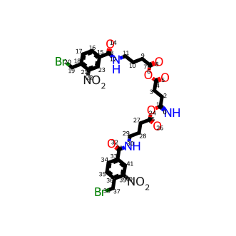 N=C(CCC(=O)OC(=O)CCCNC(=O)c1ccc(CBr)c([N+](=O)[O-])c1)OC(=O)CCCNC(=O)c1ccc(CBr)c([N+](=O)[O-])c1